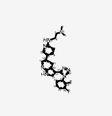 CN(C)CCNc1ccc(-c2cnc3[nH]cc(-c4nncn4-c4cccc(F)c4F)c3c2)cn1